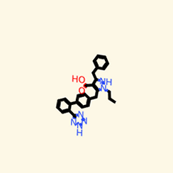 CCCN1NC(Cc2ccccc2)C(C(=O)O)=C1Cc1ccc(-c2ccccc2-c2nn[nH]n2)cc1